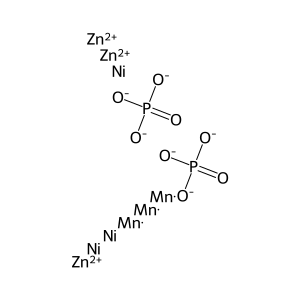 O=P([O-])([O-])[O-].O=P([O-])([O-])[O-].[Mn].[Mn].[Mn].[Ni].[Ni].[Ni].[Zn+2].[Zn+2].[Zn+2]